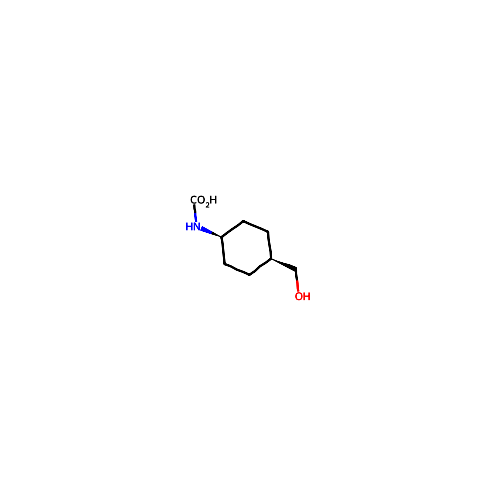 O=C(O)N[C@H]1CC[C@@H](CO)CC1